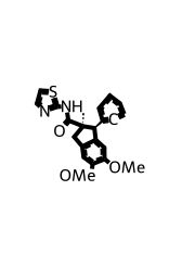 COc1cc2c(cc1OC)[C@H](c1ccccc1)[C@](C)(C(=O)Nc1nccs1)C2